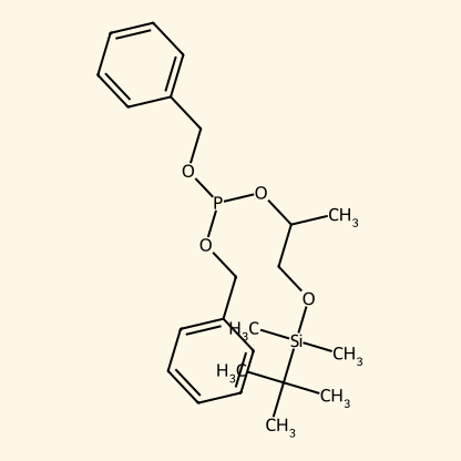 CC(CO[Si](C)(C)C(C)(C)C)OP(OCc1ccccc1)OCc1ccccc1